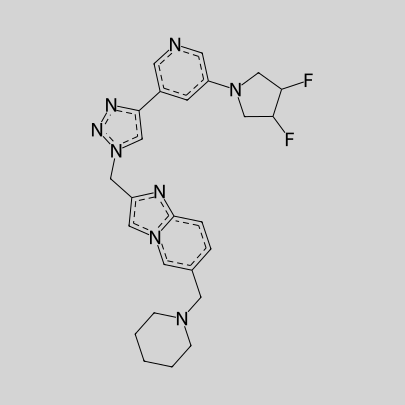 FC1CN(c2cncc(-c3cn(Cc4cn5cc(CN6CCCCC6)ccc5n4)nn3)c2)CC1F